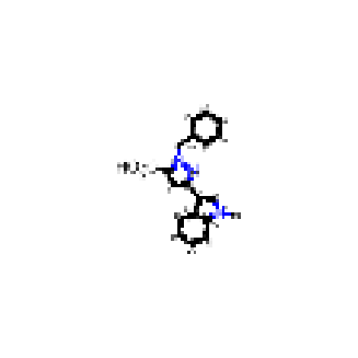 Cn1cc(-c2cc(C(=O)O)n(Cc3ccccc3)n2)c2ccccc21